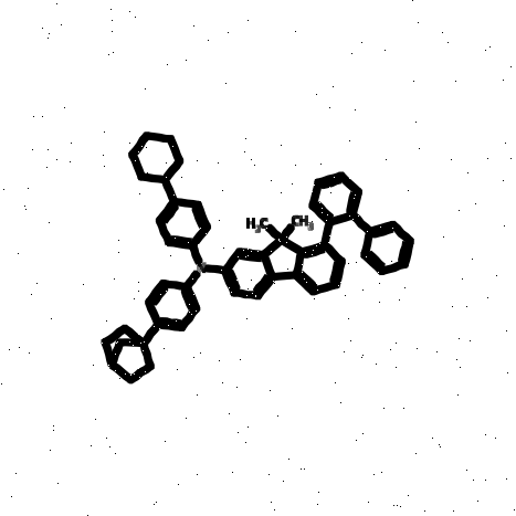 CC1(C)c2cc(N(c3ccc(C4CCCCC4)cc3)c3ccc(C45CCC(CC4)C5)cc3)ccc2-c2cccc(-c3ccccc3-c3ccccc3)c21